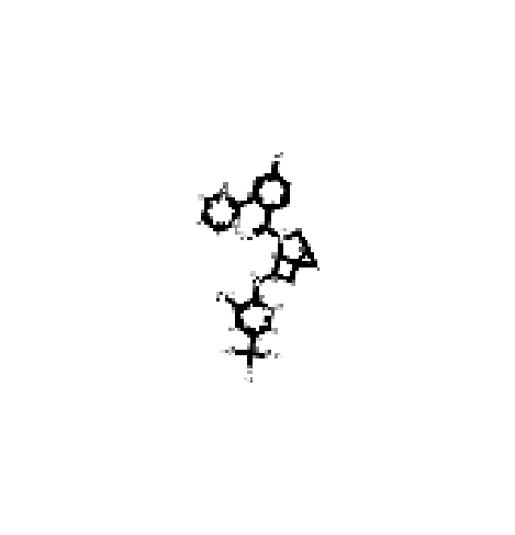 O=C(c1ccc(F)cc1-c1ncccn1)N1CC2CC23CC(Oc2ncc(C(F)(F)F)cc2Cl)C13